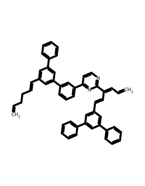 C=C/C=C(\C=C\c1cc(-c2ccccc2)cc(-c2ccccc2)c1)c1nccc(-c2cccc(-c3cc(/C=C/CCC=C)cc(-c4ccccc4)c3)c2)n1